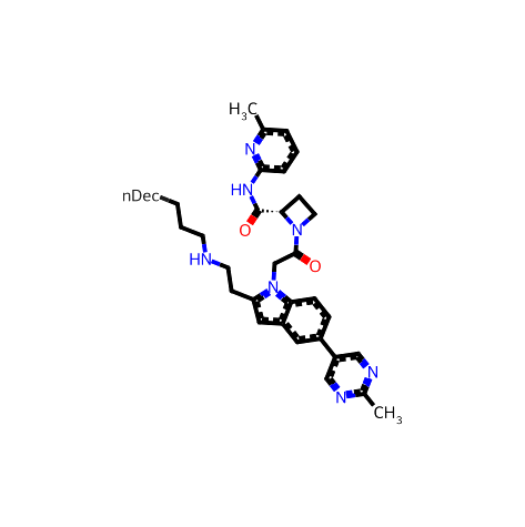 CCCCCCCCCCCCCNCCc1cc2cc(-c3cnc(C)nc3)ccc2n1CC(=O)N1CC[C@H]1C(=O)Nc1cccc(C)n1